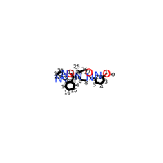 COc1cccc(N2CCN(C(=O)c3ccccc3-n3nccn3)[C@H](C)CO2)n1